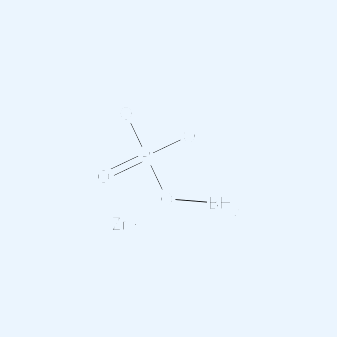 BOP(=O)([O-])[O-].[Zn+2]